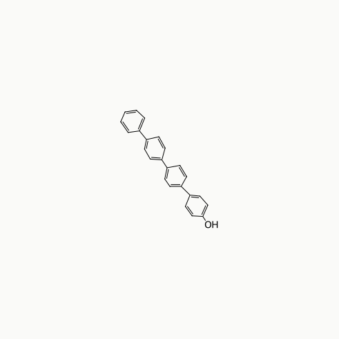 Oc1ccc(-c2ccc(-c3ccc(-c4ccccc4)cc3)cc2)cc1